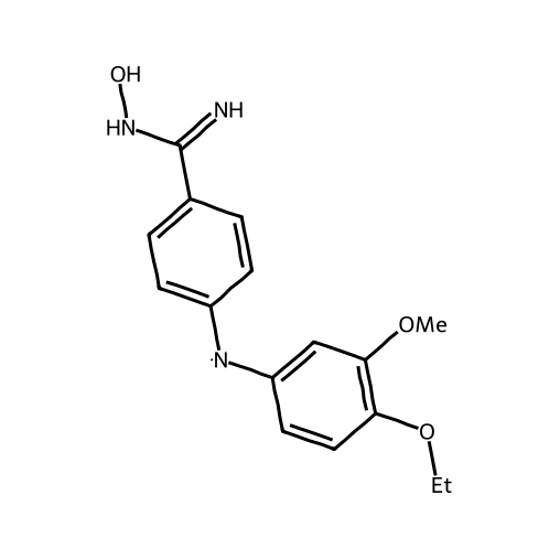 CCOc1ccc([N]c2ccc(C(=N)NO)cc2)cc1OC